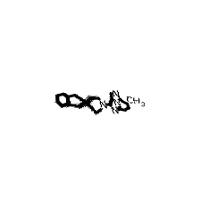 Cc1ccc2nc(N3CCC4(CC3)Cc3ccccc3C4)c3cnc1n23